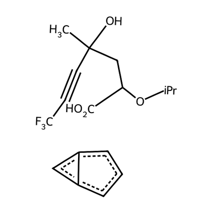 CC(C)OC(CC(C)(O)C#CC(F)(F)F)C(=O)O.c1cc2cc-2c1